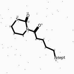 CCCCCCCCCCCC(=O)N1CCCSC1=O